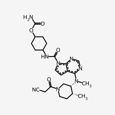 C[C@@H]1CCN(C(=O)CC#N)C[C@@H]1N(C)c1ncnc2c1ccn2C(=O)NC1CCC(OC(N)=O)CC1